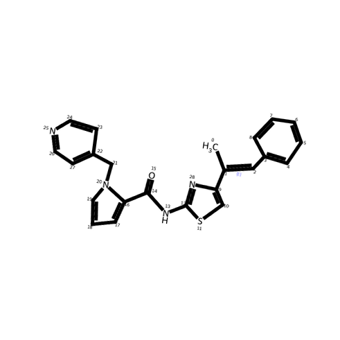 C/C(=C\c1ccccc1)c1csc(NC(=O)c2cccn2Cc2ccncc2)n1